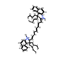 CCCCC1(CCCC)C(/C=C/C=C/C=C/C=C/C=C2/N(C)c3ccc4ccccc4c3C2(CCCC)CCCC)=[N+](C)c2ccc3ccccc3c21